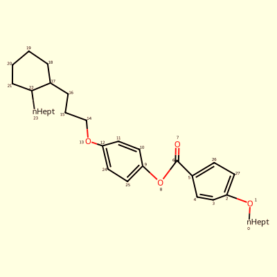 CCCCCCCOc1ccc(C(=O)Oc2ccc(OCCCC3CCCCC3CCCCCCC)cc2)cc1